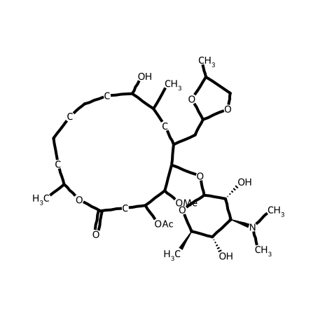 COC1C(OC(C)=O)CC(=O)OC(C)CCCCCC(O)C(C)CC(CC2OCC(C)O2)C1OC1O[C@H](C)[C@@H](O)[C@H](N(C)C)[C@H]1O